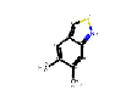 Cc1cc2csnc2cc1C